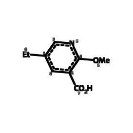 CCc1cnc(OC)c(C(=O)O)c1